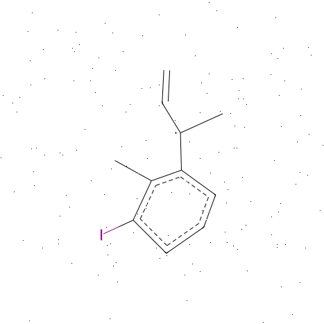 C=C[C](C)c1cccc(I)c1C